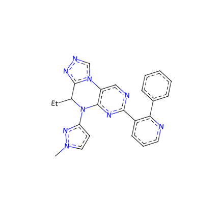 CCC1c2nncn2-c2cnc(-c3cccnc3-c3ccccc3)nc2N1c1ccn(C)n1